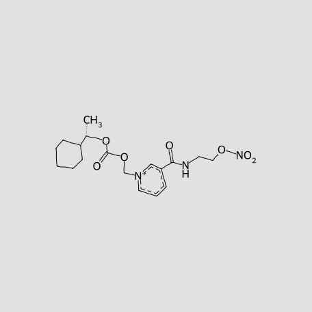 C[C@H](OC(=O)OC[n+]1cccc(C(=O)NCCO[N+](=O)[O-])c1)C1CCCCC1